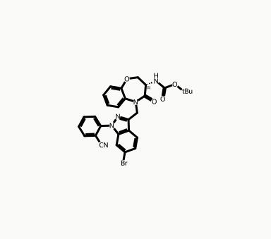 CC(C)(C)OC(=O)N[C@H]1COc2ccccc2N(Cc2nn(-c3ccccc3C#N)c3cc(Br)ccc23)C1=O